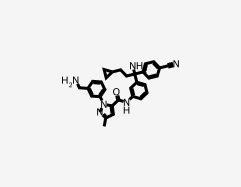 Cc1cc(C(=O)Nc2cccc(C(N)(CCC3CC3)c3ccc(C#N)cc3)c2)n(-c2cccc(CN)c2)n1